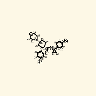 O=C(NC1(c2ccc(Br)cc2)CC1)[C@@H]1CC[C@@H](N2CCOCC2)C[C@H]1c1ccc(Br)cc1